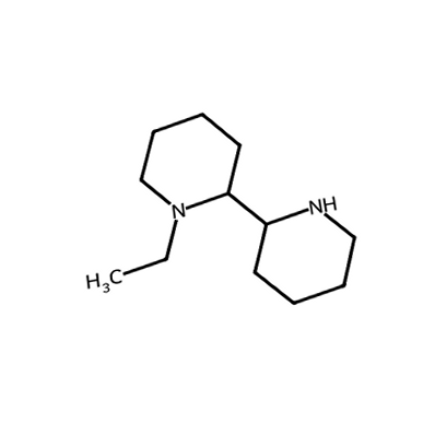 CCN1CCCCC1C1CCCCN1